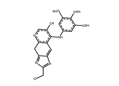 COc1cc(Nc2c(C#N)cnc3c2C=C2N=C(CCl)N=C2C3)cc(OC)c1OC